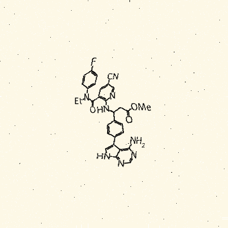 CCN(C(=O)c1cc(C#N)cnc1NC(CC(=O)OC)c1ccc(-c2c[nH]c3ncnc(N)c23)cc1)c1ccc(F)cc1